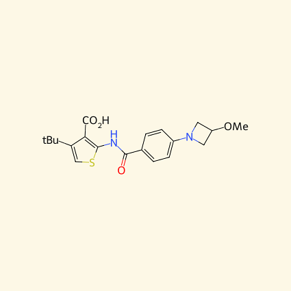 COC1CN(c2ccc(C(=O)Nc3scc(C(C)(C)C)c3C(=O)O)cc2)C1